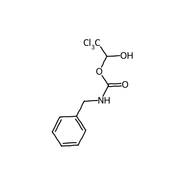 O=C(NCc1ccccc1)OC(O)C(Cl)(Cl)Cl